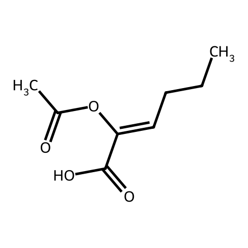 CCCC=C(OC(C)=O)C(=O)O